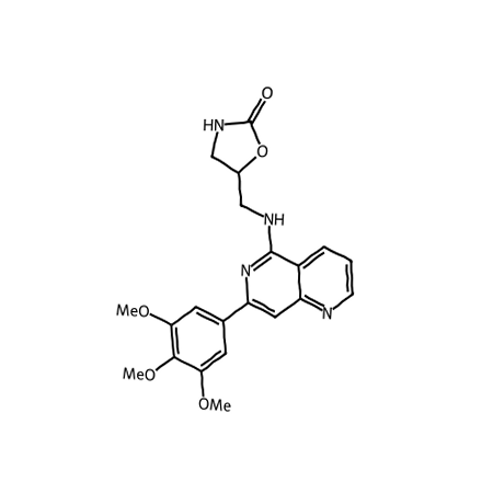 COc1cc(-c2cc3ncccc3c(NCC3CNC(=O)O3)n2)cc(OC)c1OC